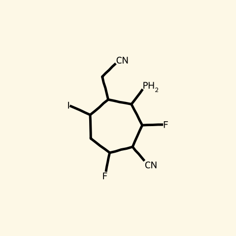 N#CCC1C(I)CC(F)C(C#N)C(F)C1P